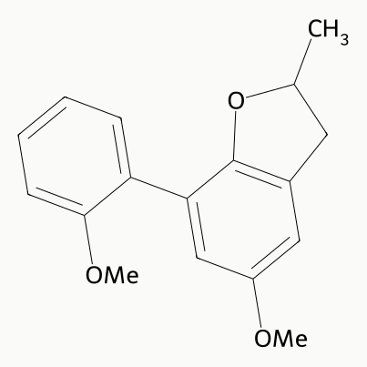 COc1cc2c(c(-c3ccccc3OC)c1)OC(C)C2